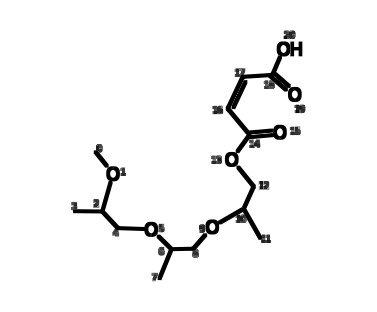 COC(C)COC(C)COC(C)COC(=O)/C=C\C(=O)O